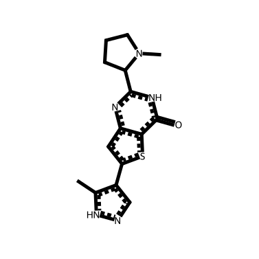 Cc1[nH]ncc1-c1cc2nc(C3CCCN3C)[nH]c(=O)c2s1